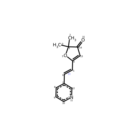 CC1(C)OC(/C=C/c2cccnc2)=CC1=O